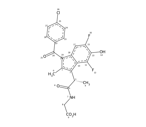 Cc1c([C@H](C)C(=O)NCC(=O)O)c2c(F)c(O)c(F)cc2n1C(=O)c1ccc(Cl)cc1